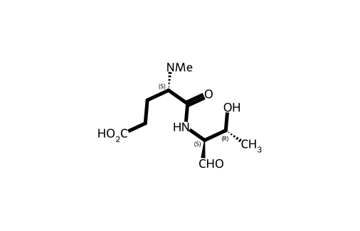 CN[C@@H](CCC(=O)O)C(=O)N[C@H](C=O)[C@@H](C)O